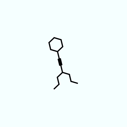 CCCC(C#CC1CCCCC1)CCC